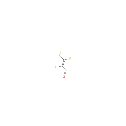 O=CC(F)=C(F)CF